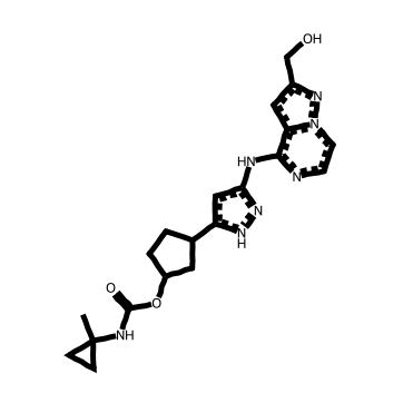 CC1(NC(=O)OC2CCC(c3cc(Nc4nccn5nc(CO)cc45)n[nH]3)C2)CC1